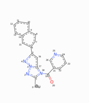 CCC(C)c1nn2nc(-c3ccc4ccccc4c3)cc2n1C(=O)c1cccnc1